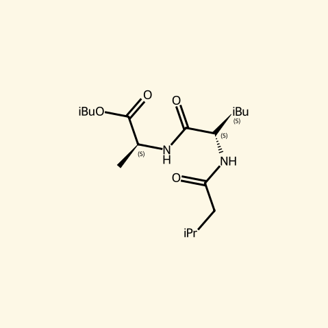 CC[C@H](C)[C@H](NC(=O)CC(C)C)C(=O)N[C@@H](C)C(=O)OCC(C)C